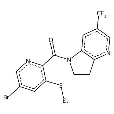 CCSc1cc(Br)cnc1C(=O)N1CCc2ncc(C(F)(F)F)cc21